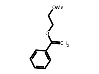 C=C(OCCOC)c1ccccc1